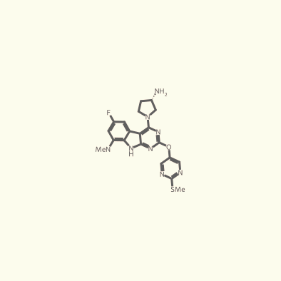 CNc1cc(F)cc2c1[nH]c1nc(Oc3cnc(SC)nc3)nc(N3CC[C@H](N)C3)c12